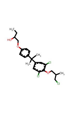 CCC(O)COc1ccc(C(C)(C)c2cc(Cl)c(OCC(C)CCl)c(Cl)c2)cc1